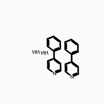 [HH].[HH].c1ccc(-c2ccncc2)cc1.c1ccc(-c2ccncc2)cc1